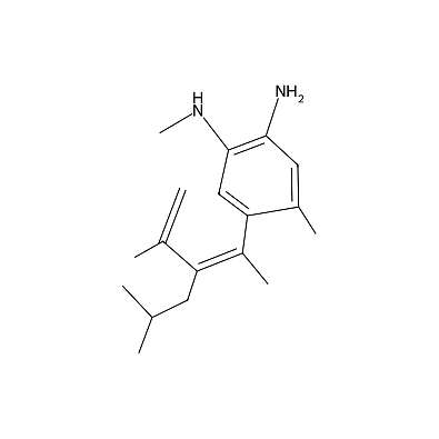 C=C(C)/C(CC(C)C)=C(/C)c1cc(NC)c(N)cc1C